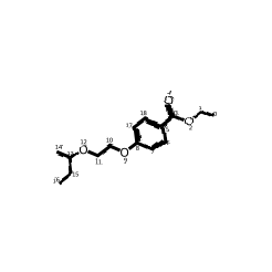 CCOC(=O)c1ccc(OCCOC(C)CC)cc1